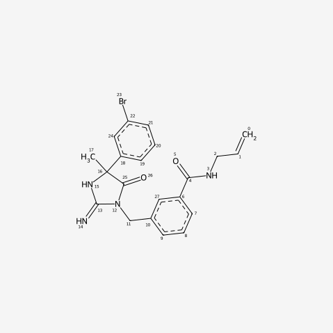 C=CCNC(=O)c1cccc(CN2C(=N)NC(C)(c3cccc(Br)c3)C2=O)c1